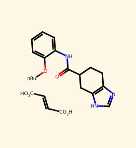 CCCCOc1ccccc1NC(=O)C1CCc2nc[nH]c2C1.O=C(O)C=CC(=O)O